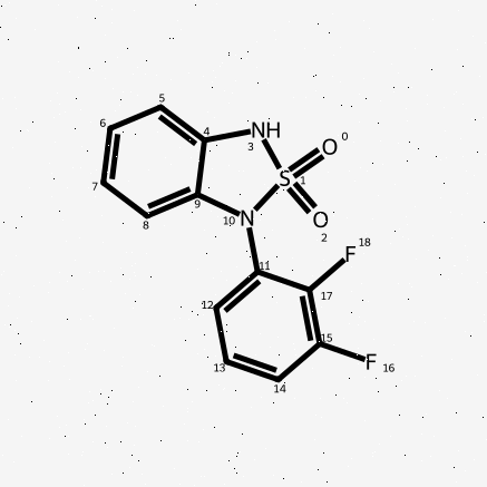 O=S1(=O)Nc2ccccc2N1c1cccc(F)c1F